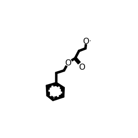 [O]CCC(=O)OCCc1ccccc1